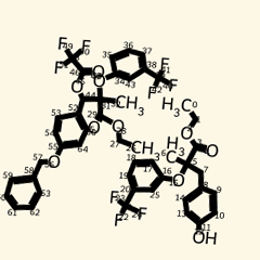 CCOC(=O)C(C)(Cc1ccc(O)cc1)Oc1cccc(C(F)(F)F)c1.CCOC(=O)C(C)(Oc1cccc(C(F)(F)F)c1)C(OC(=O)C(F)(F)F)c1ccc(OCc2ccccc2)cc1